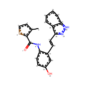 Cc1ccsc1C(=O)Nc1ccc(O)cc1C=Cc1n[nH]c2ccccc12